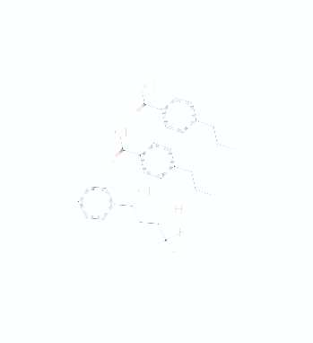 CCCc1ccc(C(=O)O)cc1.CCCc1ccc(C(=O)O)cc1.OC(CC(O)C(F)(F)F)c1ccccc1